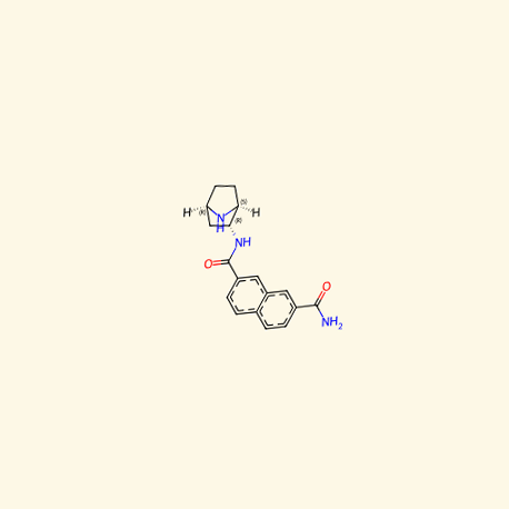 NC(=O)c1ccc2ccc(C(=O)N[C@@H]3C[C@H]4CC[C@@H]3N4)cc2c1